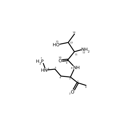 CC(=O)C(CCNP)NC(=O)C(N)C(C)O